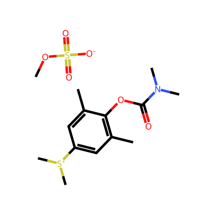 COS(=O)(=O)[O-].Cc1cc([S+](C)C)cc(C)c1OC(=O)N(C)C